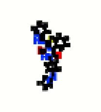 O=C(NC1C=CC(=NN2CCCC2)C=C1)C(c1ccccc1)N(Br)C(=S)Nc1ccccn1